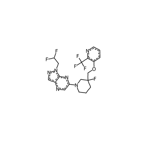 FC(F)Cn1ncc2ncc(N3CCCC(F)(COc4cccnc4C(F)(F)F)C3)nc21